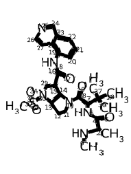 CNC(C)C(=O)NC(C(=O)N1CCC2C1C(C(=O)Nc1cccc3cnccc13)CN2S(C)(=O)=O)C(C)(C)C